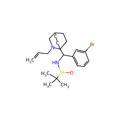 C=CCN1CC2CCC1(C(N[S+]([O-])C(C)(C)C)c1cccc(Br)c1)CC2